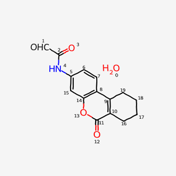 O.O=CC(=O)Nc1ccc2c3c(c(=O)oc2c1)CCCC3